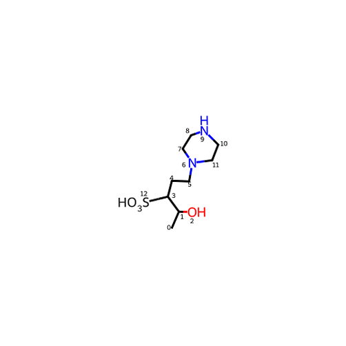 CC(O)C(CCN1CCNCC1)S(=O)(=O)O